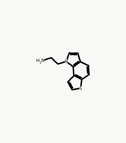 NCCn1ccc2ccc3sccc3c21